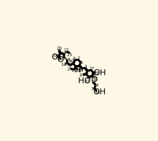 C=C1/C(=C\C=C2/CCC[C@]3(C)[C@@H]([C@H](C)C[C@@H]4OC(=O)C(=C)[C@H]4CC)CC[C@@H]23)C[C@@H](O)[C@H](OCCCO)[C@@H]1O